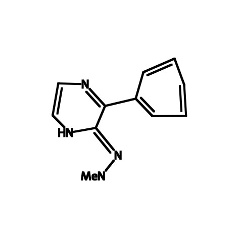 CNN=c1[nH]ccnc1-c1ccccc1